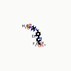 CCc1cc(CN2CC3(C2)CN(S(C)(=O)=O)C3)ccc1-c1ccc(C(O)(C(F)(F)F)C(F)(F)F)cn1